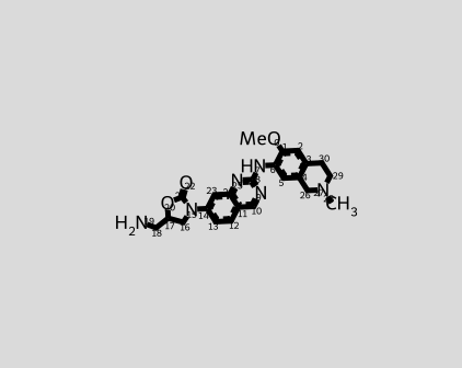 COc1cc2c(cc1Nc1ncc3ccc(N4CC(CN)OC4=O)cc3n1)CN(C)CC2